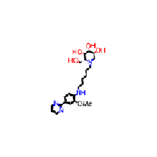 COc1cc(-c2ncccn2)ccc1NCCCCCCN1C[C@H](O)[C@@H](O)[C@H](O)[C@H]1CO